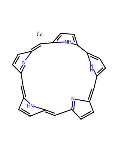 C1=Cc2cc3ccc([nH]3)c3ccc(cc4nc(cc5ccc(cc1n2)[nH]5)C=C4)[nH]3.[Co]